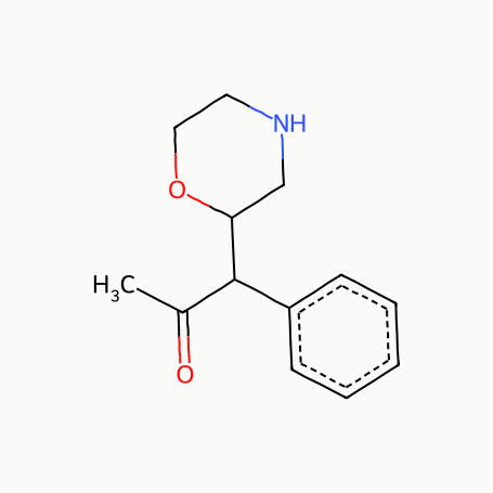 CC(=O)C(c1ccccc1)C1CNCCO1